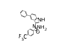 NS(=O)(=Nc1c[nH]c2ccc(-c3ccccc3)cc12)c1ccc(C(F)(F)F)cc1